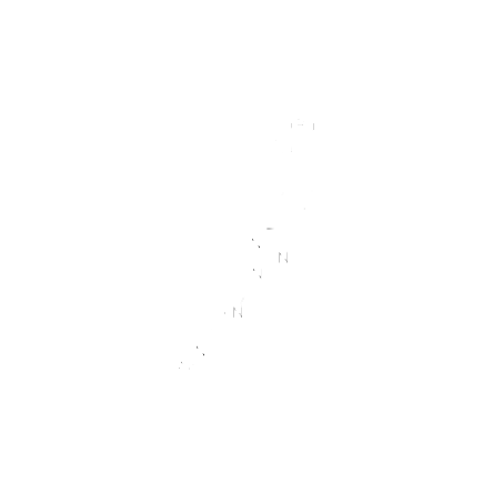 CC(=O)N1CC(ON=C2CN(c3ncc(-c4cccc(CO[Si](C)(C)C(C)(C)C)c4F)cn3)C2)C1